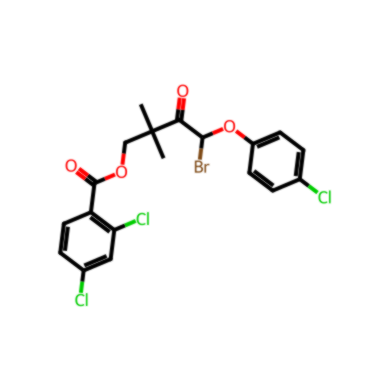 CC(C)(COC(=O)c1ccc(Cl)cc1Cl)C(=O)C(Br)Oc1ccc(Cl)cc1